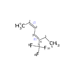 C/C=C\C=C(/CC)C(F)(F)F